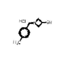 Cc1ccc(CN2CC(S)C2)cc1.Cl